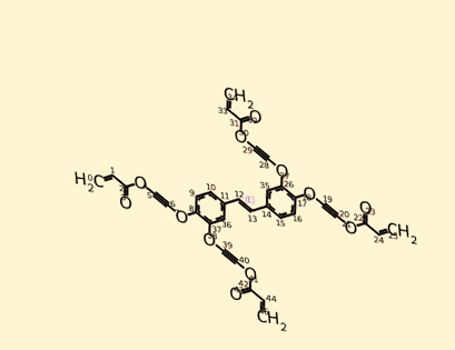 C=CC(=O)OC#COc1ccc(/C=C/c2ccc(OC#COC(=O)C=C)c(OC#COC(=O)C=C)c2)cc1OC#COC(=O)C=C